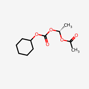 CC(=O)O[C@@H](C)OC(=O)OC1CCCCC1